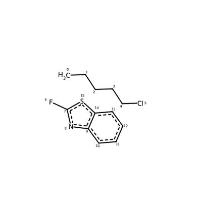 CCCCCCl.Fc1nc2ccccc2s1